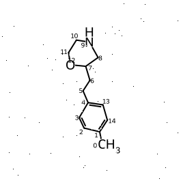 Cc1ccc(CCC2CNCCO2)cc1